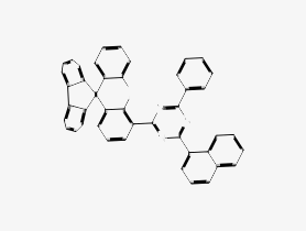 c1ccc(-c2nc(-c3cccc4c3Oc3ccccc3C43c4ccccc4-c4ccccc43)nc(-c3cccc4ccccc34)n2)cc1